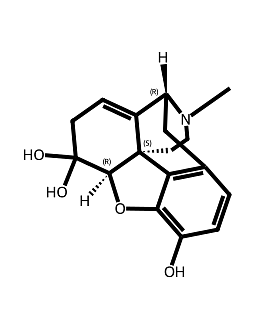 CN1CC[C@@]23C4=CCC(O)(O)[C@@H]2Oc2c(O)ccc(c23)C[C@H]41